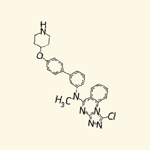 CN(c1cccc(-c2ccc(OC3CCNCC3)cc2)c1)c1nc2nnc(Cl)n2c2ccccc12